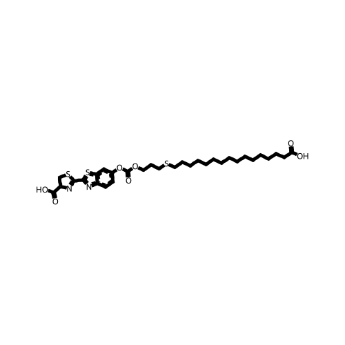 O=C(O)CCCCCCCCCCCCCCCSCCCOC(=O)Oc1ccc2nc(C3=NC(C(=O)O)CS3)sc2c1